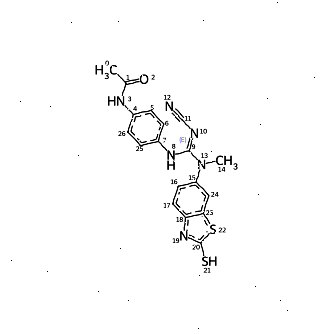 CC(=O)Nc1ccc(N/C(=N\C#N)N(C)c2ccc3nc(S)sc3c2)cc1